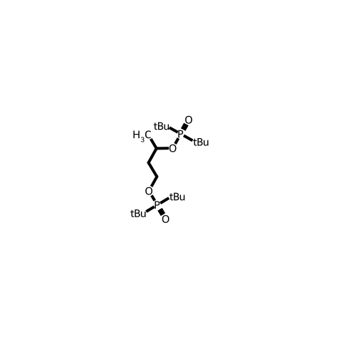 CC(CCOP(=O)(C(C)(C)C)C(C)(C)C)OP(=O)(C(C)(C)C)C(C)(C)C